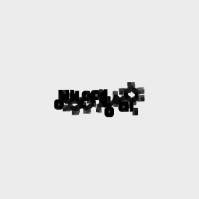 CN(C)[C@H](CNC(=O)C1=C[C@@]1(C)c1ccccc1)Cc1ccc(C(N)=O)cc1